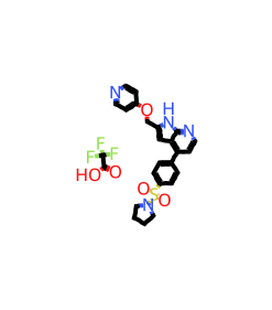 O=C(O)C(F)(F)F.O=S(=O)(c1ccc(-c2ccnc3[nH]c(COc4ccncc4)cc23)cc1)N1CCCC1